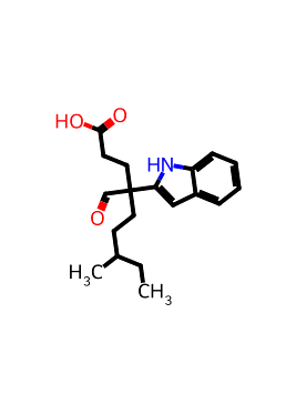 CCC(C)CCC(C=O)(CCC(=O)O)c1cc2ccccc2[nH]1